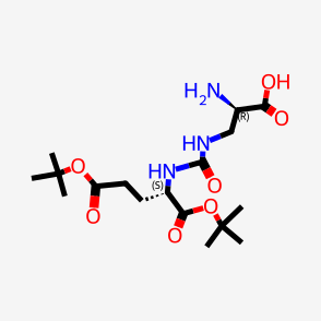 CC(C)(C)OC(=O)CC[C@H](NC(=O)NC[C@@H](N)C(=O)O)C(=O)OC(C)(C)C